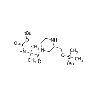 CC(C)(C)OC(=O)NC(C)(C)C(=O)N1CCNC(CO[Si](C)(C)C(C)(C)C)C1